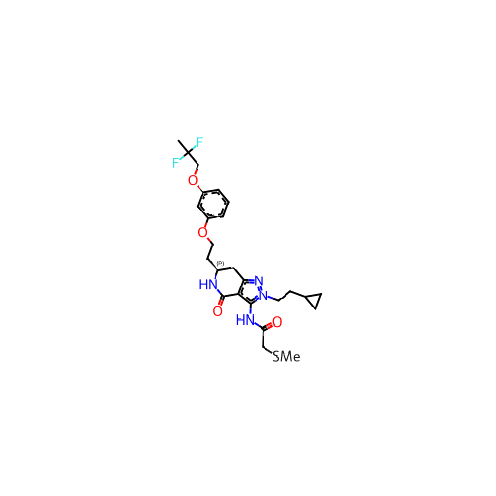 CSCC(=O)Nc1c2c(nn1CCC1CC1)C[C@H](CCOc1cccc(OCC(C)(F)F)c1)NC2=O